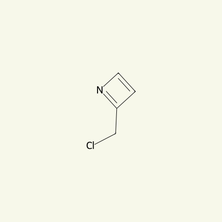 ClCC1=NC=C1